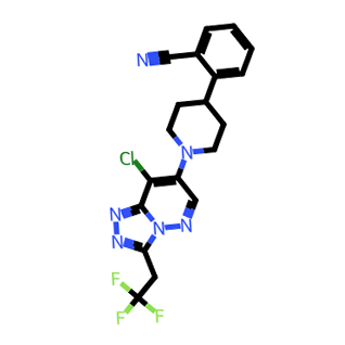 N#Cc1ccccc1C1CCN(c2cnn3c(CC(F)(F)F)nnc3c2Cl)CC1